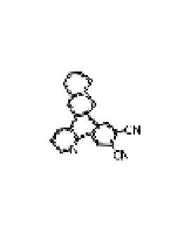 N#Cc1cc2c3cc4ccccc4cc3c3cccnc3c2cc1C#N